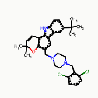 CC1(C)C=Cc2c(c(CN3CCN(Cc4c(Cl)cccc4Cl)CC3)cc3c2[nH]c2ccc(C(C)(C)C)cc23)O1